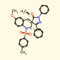 C=C[C@H]1c2cc(OC)ccc2N(S(=O)(=O)c2ccc(C)cc2)[C@@H](c2ccccc2)[C@]12C(=O)N(c1ccccc1)N=C2C